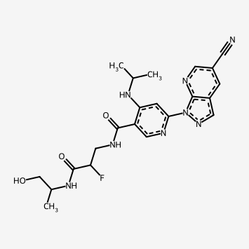 CC(C)Nc1cc(-n2ncc3cc(C#N)cnc32)ncc1C(=O)NCC(F)C(=O)NC(C)CO